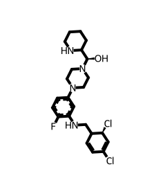 O[C@H](C1CCCCN1)N1CCN(c2ccc(F)c(NCC3C=CC(Cl)=C[C@@H]3Cl)c2)CC1